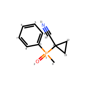 CP(=O)(c1ccccc1)C1(C#N)CC1